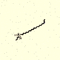 CC/C=C\CCCCCCCCCCCCCCCCCOP(=O)(O)C(CCC)[N+](C)(C)C